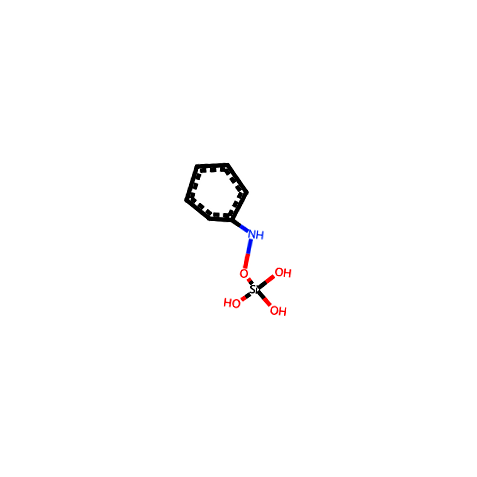 O[Si](O)(O)ONc1ccccc1